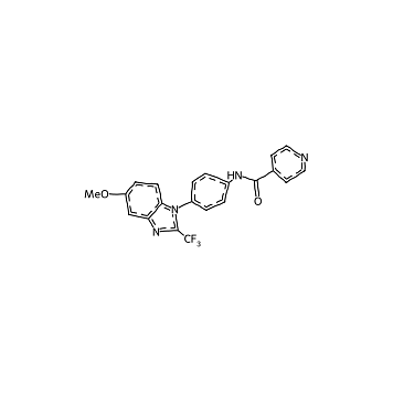 COc1ccc2c(c1)nc(C(F)(F)F)n2-c1ccc(NC(=O)c2ccncc2)cc1